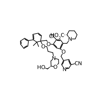 CC1(C)C(c2ccccc2)=CC=CC1(COc1cc(OCc2cncc(C#N)c2)c(CN2CCCC[C@H]2C(=O)O)cc1Cl)OCCCN1CCO[C@@H](CO)C1